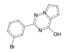 Oc1nc(-c2cccc(Br)c2)nn2cccc12